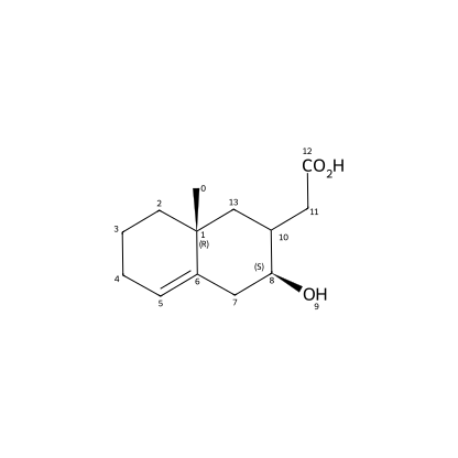 C[C@]12CCCC=C1C[C@H](O)C(CC(=O)O)C2